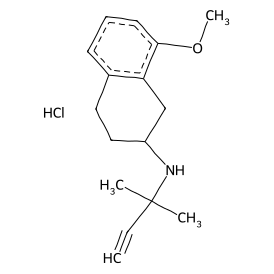 C#CC(C)(C)NC1CCc2cccc(OC)c2C1.Cl